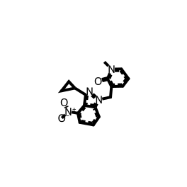 Cn1cccc(Cn2nc(C3CC3)c3c([N+](=O)[O-])cccc32)c1=O